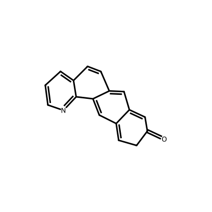 O=C1C=c2cc3ccc4cccnc4c3cc2=CC1